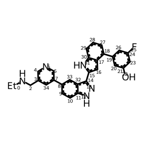 CCNCc1cncc(-c2ccc3[nH]nc(-c4cc5c(-c6cc(O)cc(F)c6)cccc5[nH]4)c3c2)c1